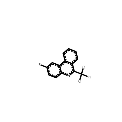 Fc1ccc2nc(C(Cl)(Cl)Cl)c3ccccc3c2c1